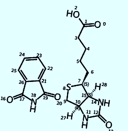 O=C(O)CCCC[C@@H]1SC[C@@H]2NC(=O)N[C@@H]21.O=C1NC(=O)c2ccccc21